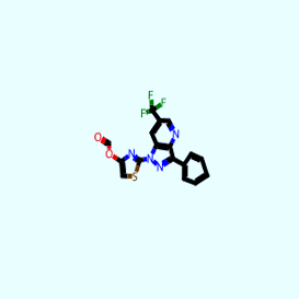 O=COc1csc(-n2nc(-c3ccccc3)c3ncc(C(F)(F)F)cc32)n1